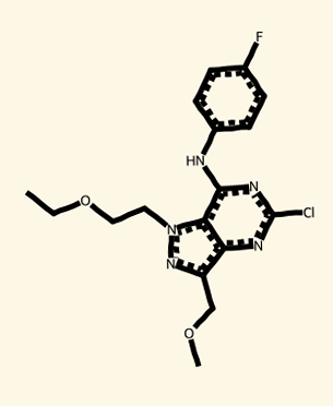 CCOCCn1nc(COC)c2nc(Cl)nc(Nc3ccc(F)cc3)c21